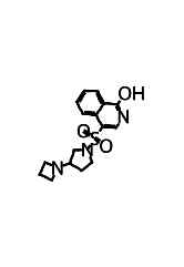 O=S(=O)(c1cnc(O)c2ccccc12)N1CCC(N2CCC2)C1